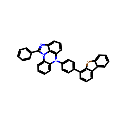 c1ccc(-c2nc3cccc4c3n2-c2ccccc2N4c2ccc(-c3cccc4c3sc3ccccc34)cc2)cc1